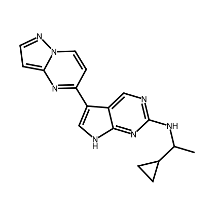 CC(Nc1ncc2c(-c3ccn4nccc4n3)c[nH]c2n1)C1CC1